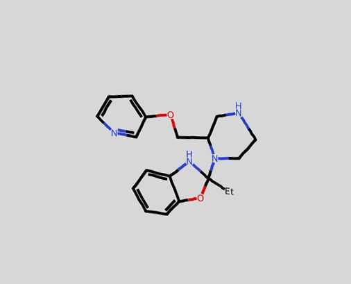 CCC1(N2CCNCC2COc2cccnc2)Nc2ccccc2O1